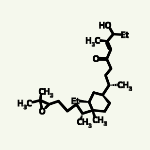 CCC(O)/C(C)=C/C(=O)CC[C@H](C)[C@H]1CC[C@](C)([C@H](C)CCCC2OC2(C)C)[C@@H](CC)C1